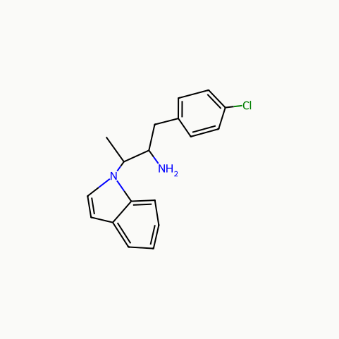 CC(C(N)Cc1ccc(Cl)cc1)n1ccc2ccccc21